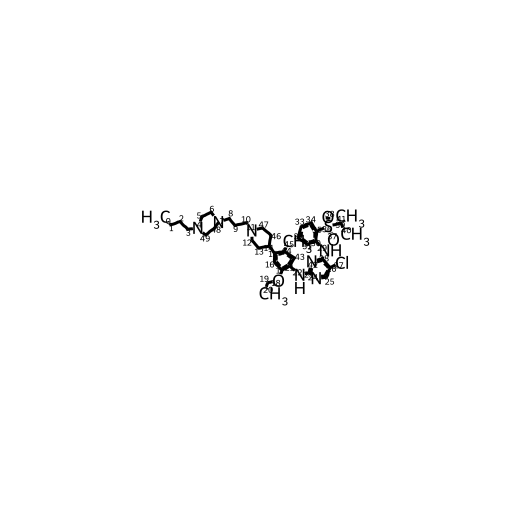 CCCCN1CCN(CCCN2CCC(c3cc(OCC)c(Nc4ncc(Cl)c(Nc5ccccc5S(=O)(=O)C(C)C)n4)cc3C)CC2)CC1